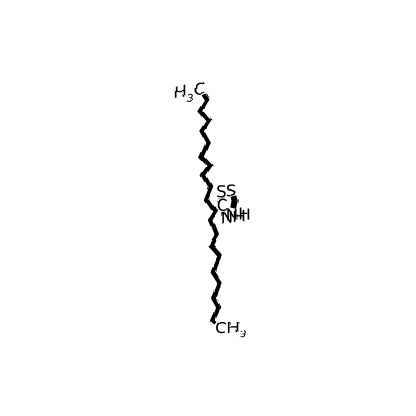 CCCCCCCCCCCCCCCCCCCCCC.N=C=S.N=C=S